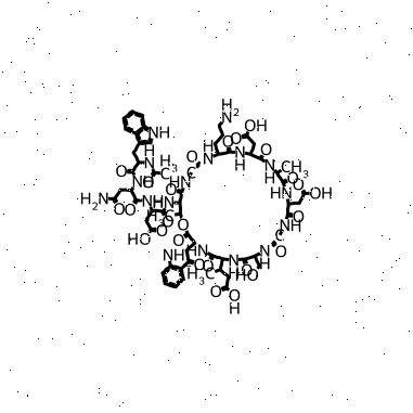 CC(=O)NC(Cc1c[nH]c2ccccc12)C(=O)NC(CC(N)=O)C(=O)NC(CC(=O)O)C(=O)NC1C(=O)NCC(=O)NC(CCCN)C(=O)NC(CC(=O)O)C(=O)NC(C)C(=O)NC(CC(=O)O)C(=O)NCC(=O)NC(CO)C(=O)NC(C(C)CC(=O)O)C(=O)NC(CC(=O)c2ccccc2N)C(=O)OC1C